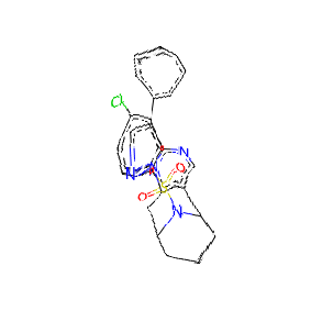 O=S(=O)(c1ccc(Cl)cc1)N1C2CCCC1c1cnc3c(-c4ccccc4)cnn3c1C2